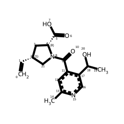 C=C[C@@H]1C[C@H](C(=O)O)N(C(=O)c2cc(C)ncc2C(C)O)C1